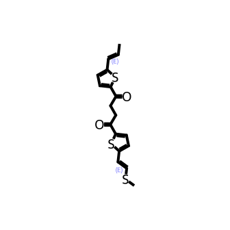 C/C=C/c1ccc(C(=O)CCC(=O)c2ccc(/C=C/SC)s2)s1